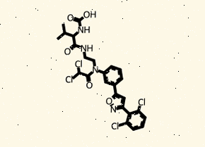 CC(C)C(NC(=O)O)C(=O)NCCN(C(=O)C(Cl)Cl)c1cccc(-c2cc(-c3c(Cl)cccc3Cl)no2)c1